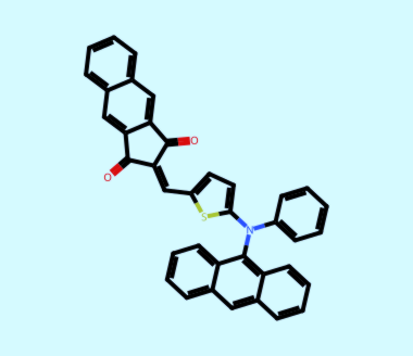 O=C1C(=Cc2ccc(N(c3ccccc3)c3c4ccccc4cc4ccccc34)s2)C(=O)c2cc3ccccc3cc21